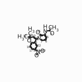 CC(=O)Nc1cccn(C2=CC(C)(C)Oc3ccc([N+](=O)[O-])cc32)c1=O